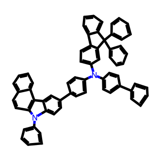 c1ccc(-c2ccc(N(c3ccc(-c4ccc5c(c4)c4c6ccccc6ccc4n5-c4ccccc4)cc3)c3ccc4c(c3)C(c3ccccc3)(c3ccccc3)c3ccccc3-4)cc2)cc1